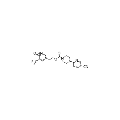 N#Cc1ccc(N2CCN(C(=O)OCCc3c[nH]c(=O)c(C(F)(F)F)c3)CC2)nc1